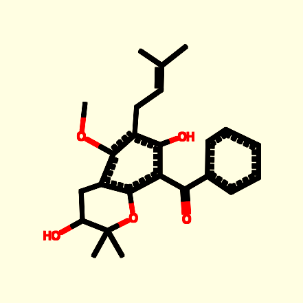 COc1c(CC=C(C)C)c(O)c(C(=O)c2ccccc2)c2c1CC(O)C(C)(C)O2